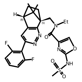 CCN(C[C@@]12CC[C@@H](c3cc(-c4c(F)cccc4F)nnc31)C2(C)C)C(=O)c1coc(NS(C)(=O)=O)n1